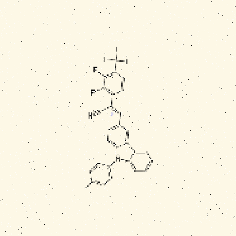 Cc1ccc(-n2c3ccccc3c3cc(/C=C(\C#N)c4ccc(C(F)(F)F)c(F)c4F)ccc32)cc1